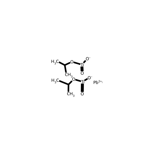 CC(C)[O][Ti](=[O])[O-].CC(C)[O][Ti](=[O])[O-].[Pb+2]